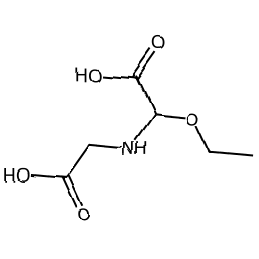 CCOC(NCC(=O)O)C(=O)O